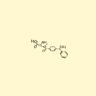 N[C@@H](COC(=O)c1ccc(C(O)c2ccccc2)cc1)C(=O)O